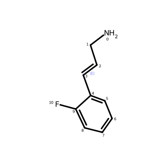 NC/C=C/c1ccccc1F